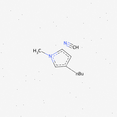 C#N.CCCCc1ccn(C)c1